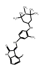 Cc1cc(N/C=C2\C(=O)Nc3cccc(F)c32)ccc1NC1CC(C)(C)N(C)C(C)(C)C1